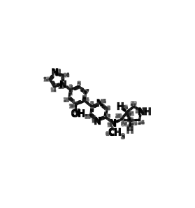 CN(c1cnc(-c2ccc(-n3ccnc3)cc2O)cn1)[C@H]1[C@@H]2CNC[C@@H]21